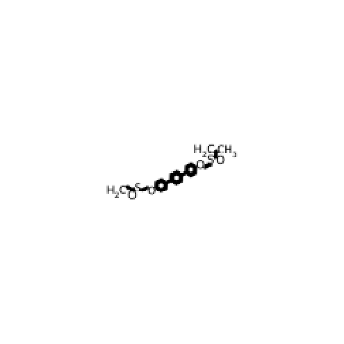 C=CC(=O)SCCOc1ccc(-c2ccc(-c3ccc(O/C=C\SC(=O)C(=C)C)cc3)cc2)cc1